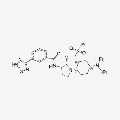 CCN(C(C)C)[C@@H]1CC[C@H](N2CCC(NC(=O)c3cccc(-c4nn[nH]n4)c3)C2=O)[C@H](CS(=O)(=O)C(C)C)C1